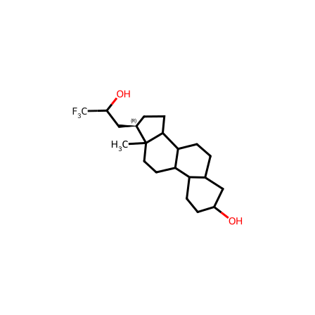 CC12CCC3C4CCC(O)CC4CCC3C1CC[C@@H]2CC(O)C(F)(F)F